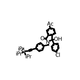 CC(=O)c1ccc2c(c1)C(=O)N(Cc1ccc(C#C[Si](C(C)C)(C(C)C)C(C)C)cc1)C2(O)c1ccc(Cl)cc1